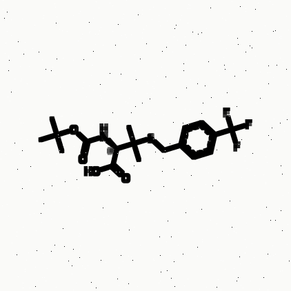 CC(C)(C)OC(=O)N[C@H](C(=O)O)C(C)(C)SCc1ccc(C(F)(F)F)cc1